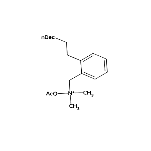 CCCCCCCCCCCCc1ccccc1C[N+](C)(C)OC(C)=O